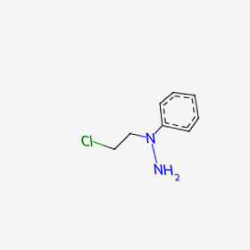 NN(CCCl)c1ccccc1